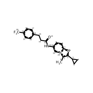 Cc1c(C2CC2)nc2ccc(NC(=O)CCc3ccc(C(F)(F)F)cc3)cn12